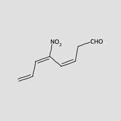 C=C/C=C(\C=C/CC=O)[N+](=O)[O-]